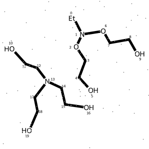 CCN(OCCO)OCCO.OCCN(CCO)CCO